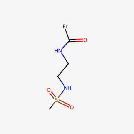 CCC(=O)NCCNS(C)(=O)=O